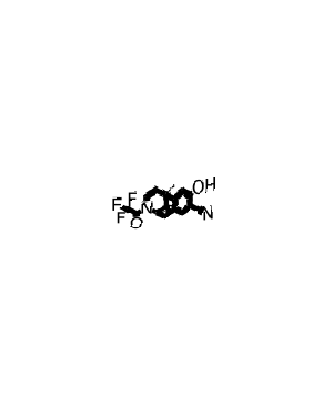 C[C@@H]1C2Cc3cc(C#N)c(O)cc3[C@]1(C)CCN2C(=O)C(F)(F)F